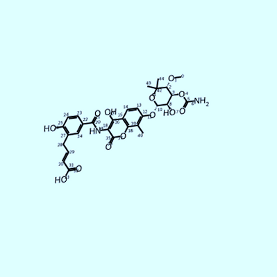 CO[C@@H]1[C@@H](OC(N)=O)[C@@H](O)[C@H](Oc2ccc3c(O)c(NC(=O)c4ccc(O)c(C/C=C/C(=O)O)c4)c(=O)oc3c2C)OC1(C)C